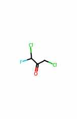 O=C(CCl)C(F)Cl